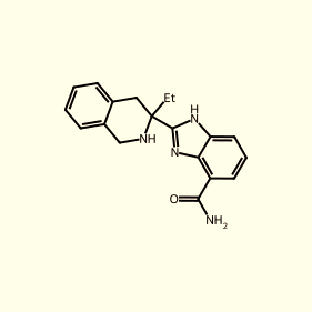 CCC1(c2nc3c(C(N)=O)cccc3[nH]2)Cc2ccccc2CN1